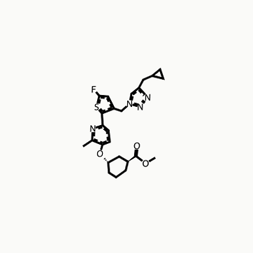 COC(=O)[C@H]1CCC[C@H](Oc2ccc(-c3sc(F)cc3Cn3cc(CC4CC4)nn3)nc2C)C1